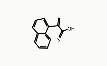 C=C(C(O)=S)c1cccc2ccccc12